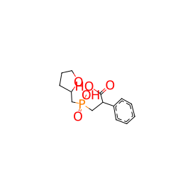 O=C(O)C(CP(=O)(O)CC1CCCO1)c1ccccc1